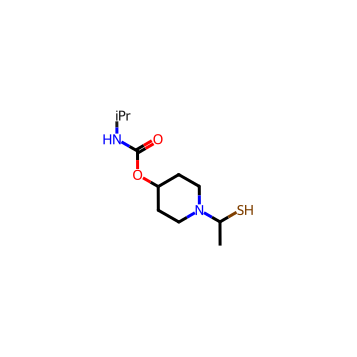 CC(C)NC(=O)OC1CCN(C(C)S)CC1